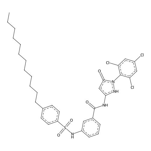 CCCCCCCCCCCCc1ccc(S(=O)(=O)Nc2cccc(C(=O)Nc3cc(=O)n(-c4c(Cl)cc(Cl)cc4Cl)[nH]3)c2)cc1